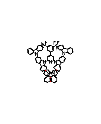 FC(F)(F)c1cc(-c2cc(-n3c4cc(-n5c6ccccc6c6ccccc65)ccc4c4ccc(-n5c6ccccc6c6ccccc65)cc43)nc(-n3c4cc(-n5c6ccccc6c6ccccc65)ccc4c4ccc(-n5c6ccccc6c6ccccc65)cc43)c2)cc(C(F)(F)F)c1